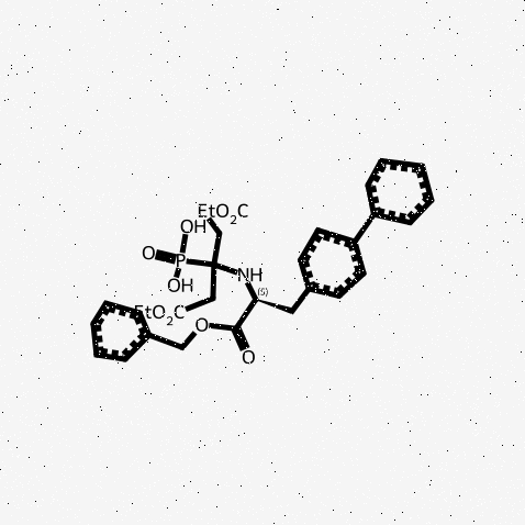 CCOC(=O)CC(CC(=O)OCC)(N[C@@H](Cc1ccc(-c2ccccc2)cc1)C(=O)OCc1ccccc1)P(=O)(O)O